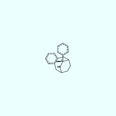 c1ccc([C@H]2NC3CCC2Cc2ccccc2C3)cc1